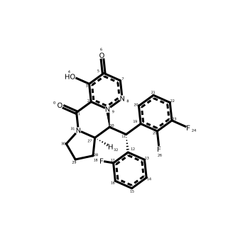 O=C1c2c(O)c(=O)cnn2[C@@H]([C@@H](c2ccccc2F)c2cccc(F)c2F)[C@H]2CCCN12